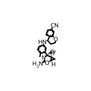 Cc1ccc(N[C@H]2CCOc3cc(C#N)ccc32)cc1[C@@]1(C(C)C)N=C(N)O[C@@H]2C[C@@H]21